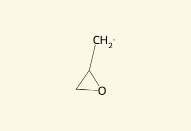 [CH2]C1CO1